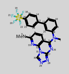 CNc1ccc2c(N(C)c3cccc(-c4ccc(S(F)(F)(F)(F)F)cc4)c3)nc3nncn3c2n1